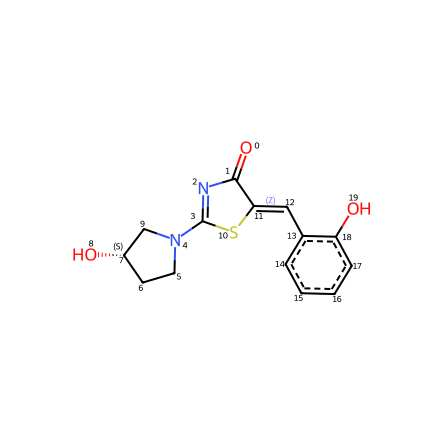 O=C1N=C(N2CC[C@H](O)C2)S/C1=C\c1ccccc1O